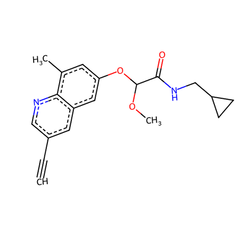 C#Cc1cnc2c(C)cc(OC(OC)C(=O)NCC3CC3)cc2c1